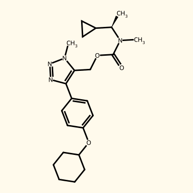 C[C@H](C1CC1)N(C)C(=O)OCc1c(-c2ccc(OC3CCCCC3)cc2)nnn1C